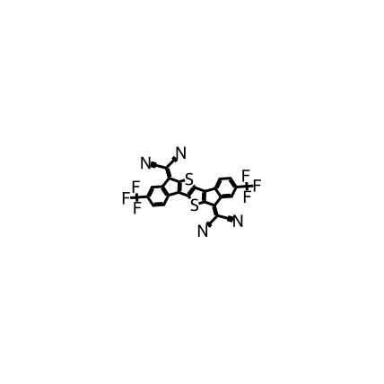 N#CC(C#N)=C1c2cc(C(F)(F)F)ccc2-c2c1sc1c3c(sc21)C(=C(C#N)C#N)c1cc(C(F)(F)F)ccc1-3